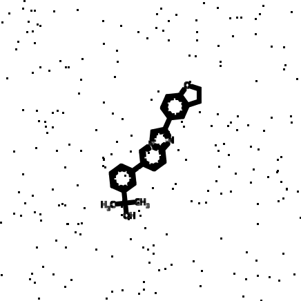 CC(C)(O)c1cccc(-c2ccc3nc(-c4ccc5c(c4)CCO5)cn3c2)c1